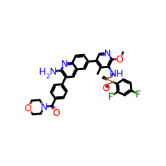 C=S(=O)(Nc1c(OC)ncc(-c2ccc3nc(N)c(-c4ccc(C(=O)N5CCOCC5)cc4)cc3c2)c1C)c1ccc(F)cc1F